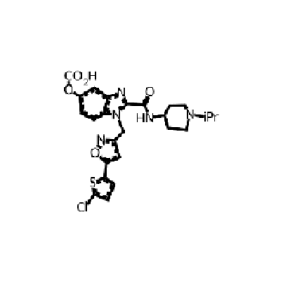 CC(C)N1CCC(NC(=O)c2nc3cc(OC(=O)O)ccc3n2Cc2cc(-c3ccc(Cl)s3)on2)CC1